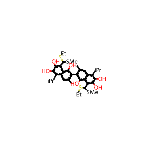 CCSC(SC)c1c(O)c(O)c(C(C)C)c2cc(C)c(-c3c(C)cc4c(C(C)C)c(O)c(O)c(C(SC)SCC)c4c3O)c(O)c12